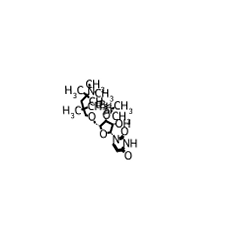 CN(C)C(C)(C)CC(C)(C)COC[C@H]1O[C@@H](n2ccc(=O)[nH]c2=O)[C@@H](O)C1O[Si](C)(C)C(C)(C)C